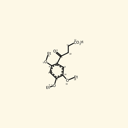 CCOc1cc(OCC)c(C(=O)CCC(=O)O)cc1OCC